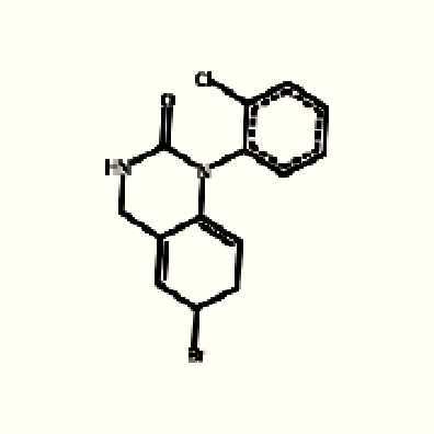 O=C1NCC2=CC(Br)CC=C2N1c1ccccc1Cl